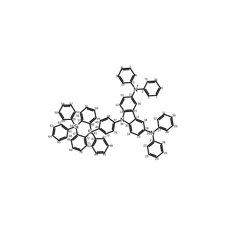 c1ccc(N(c2ccccc2)c2ccc3c(c2)c2cc(N(c4ccccc4)c4ccccc4)ccc2n3-c2ccc([Si]3(c4ccccc4)c4ccccc4[Si](c4ccccc4)(c4ccccc4)c4ccccc43)cc2)cc1